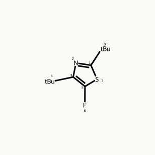 CC(C)(C)c1nc(C(C)(C)C)c(F)s1